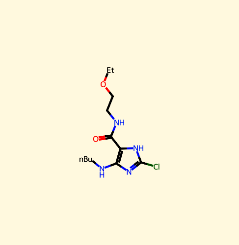 CCCCNc1nc(Cl)[nH]c1C(=O)NCCOCC